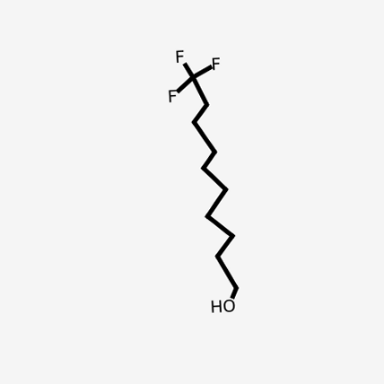 OCCCCCCCCCC(F)(F)F